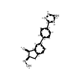 O=C1/C(=N/O)Cc2ccc(-c3ccc(-c4nn[nH]n4)cc3)cc21